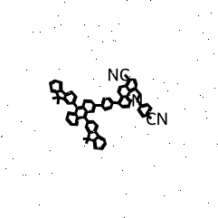 CC1(C)c2ccccc2-c2ccc(-c3c4ccccc4c(-c4ccc5c(c4)C(C)(C)c4ccccc4-5)c4cc(-c5ccc(-c6ccc7c8c6ccc6c(C#N)ccc(c68)CN7c6ccc(C#N)cc6)cc5)ccc34)cc21